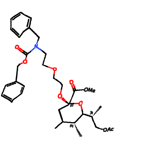 COC(=O)[C@@]1(OCCOCCN(Cc2ccccc2)C(=O)OCc2ccccc2)CC(C)[C@@H](C)C([C@H](C)COC(C)=O)O1